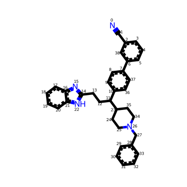 N#Cc1cccc(-c2ccc(C(CCc3nc4ccccc4[nH]3)C3CCN(Cc4ccccc4)CC3)cc2)c1